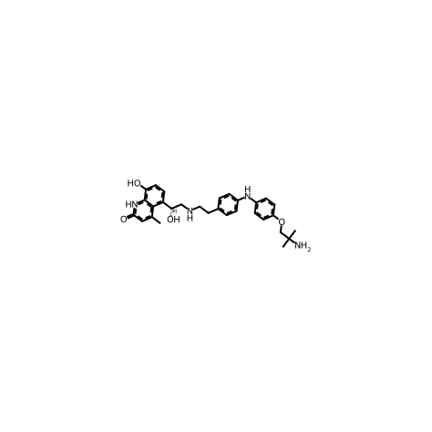 Cc1cc(=O)[nH]c2c(O)ccc([C@@H](O)CNCCc3ccc(Nc4ccc(OCC(C)(C)N)cc4)cc3)c12